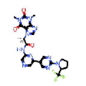 C[C@@H](C(=O)Nc1cncc(-c2cnc(N3CCCC3C(F)(F)F)nc2)n1)n1cnc2c1c(=O)n(C)c(=O)n2C